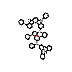 c1ccc(-c2ccc(N(c3ccc4c(c3)c3c5c(ccc3n4-c3ccccc3)oc3c(-c4ccccc4)cccc35)c3ccccc3-c3cccc(N(c4ccccc4)c4cc5c6ccccc6n6c7ccccc7c(c4)c56)c3)cc2)cc1